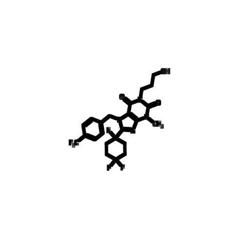 Cn1c(=O)n(CCCO)c(=O)c2c1nc(C1(F)CCC(F)(F)CC1)n2Cc1ccc(C(F)(F)F)cc1